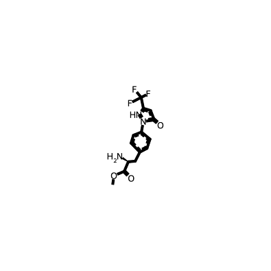 COC(=O)[C@@H](N)Cc1ccc(-n2[nH]c(C(F)(F)F)cc2=O)cc1